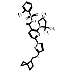 Cc1ccccc1S(=O)(=O)NC(=O)c1ccc(-n2ccc(OCC3CCC34CC4)n2)nc1N1C[C@@H](C)CC1(C)C